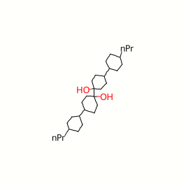 CCCC1CCC(C2CCC(O)(C3(O)CCC(C4CCC(CCC)CC4)CC3)CC2)CC1